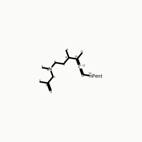 C=C(C)CN(C)CCC(C)C(C)=C=CCCCCC